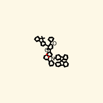 CC1(C)c2ccccc2-c2ccc(-c3c4oc5ccc(N(c6ccc7c(c6)C6(c8ccccc8-c8ccccc86)c6ccccc6-7)c6ccccc6-c6ccccc6)cc5c4cc4oc5ccccc5c34)cc21